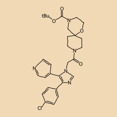 CC(C)(C)OC(=O)N1CCOC2(CCN(C(=O)Cn3cnc(-c4ccc(Cl)cc4)c3-c3ccncc3)CC2)C1